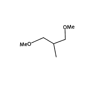 COCC(C)COC